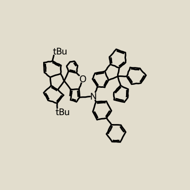 CC(C)(C)C1=CC2C(C=C1)c1ccc(C(C)(C)C)cc1C21C2=C(C=CCC2)Oc2c(N(c3ccc(-c4ccccc4)cc3)c3ccc4c(c3)C(c3ccccc3)(c3ccccc3)c3ccccc3-4)cccc21